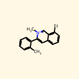 CCc1cccc2cc(-c3ccccc3C)[n+](C)cc12